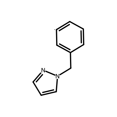 [c]1cccc(Cn2cccn2)c1